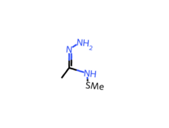 CSN/C(C)=N\N